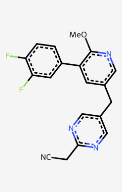 COc1ncc(Cc2cnc(CC#N)nc2)cc1-c1ccc(F)c(F)c1